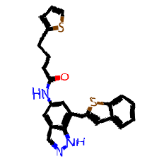 O=C(CCCc1cccs1)Nc1cc(-c2cc3ccccc3s2)c2[nH]ncc2c1